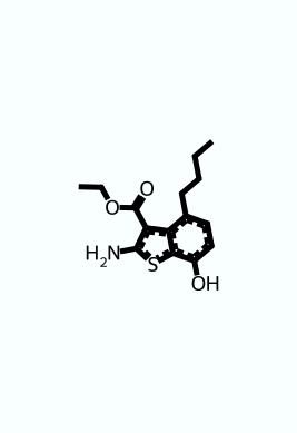 CCCCc1ccc(O)c2sc(N)c(C(=O)OCC)c12